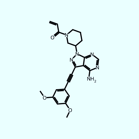 C=CC(=O)N1CCCC(n2nc(C#Cc3cc(OC)cc(OC)c3)c3c(N)ncnc32)C1